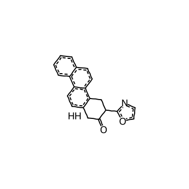 O=C1Cc2ccc3c(ccc4ccccc43)c2CC1c1ncco1.[HH]